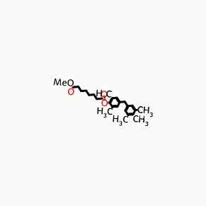 COC(=O)CCCCCCC(=O)Oc1c(C)cc(Cc2cc(C)c(C)c(C)c2)cc1C